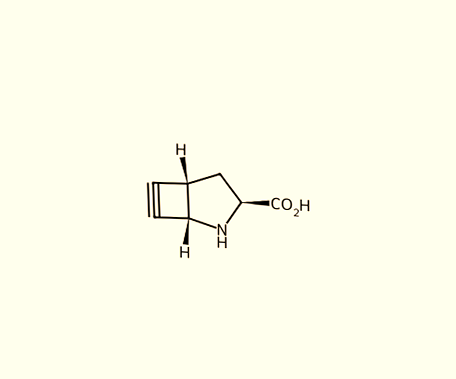 O=C(O)[C@@H]1C[C@H]2C#C[C@H]2N1